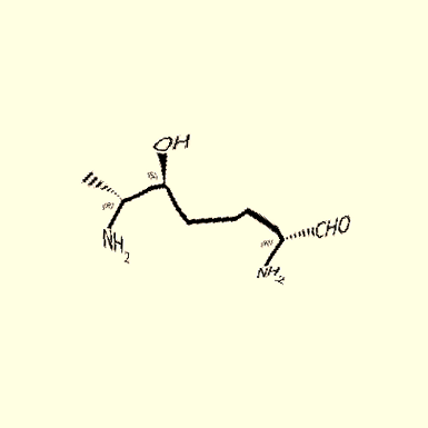 C[C@@H](N)[C@@H](O)CC[C@@H](N)C=O